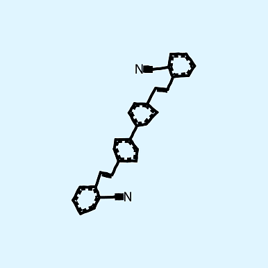 N#Cc1ccccc1C=Cc1ccc(-c2ccc(C=Cc3ccccc3C#N)cc2)cc1